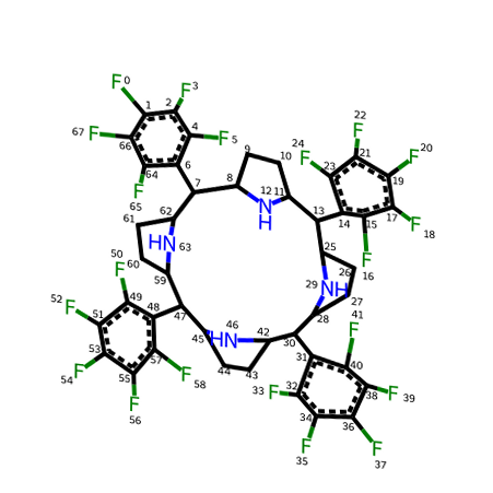 Fc1c(F)c(F)c(C2C3CCC(N3)C(c3c(F)c(F)c(F)c(F)c3F)C3CCC(N3)C(c3c(F)c(F)c(F)c(F)c3F)C3CCC(N3)C(c3c(F)c(F)c(F)c(F)c3F)C3CCC2N3)c(F)c1F